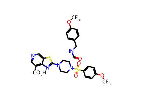 O=C(O)c1cncc2sc(N3CCN(S(=O)(=O)c4ccc(OC(F)(F)F)cc4)[C@@H](C(=O)NCc4ccc(OC(F)(F)F)cc4)C3)nc12